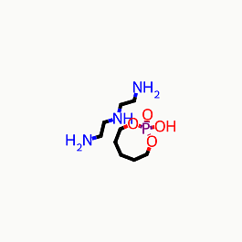 NCCNCCN.O=P1(O)OCCCCCO1